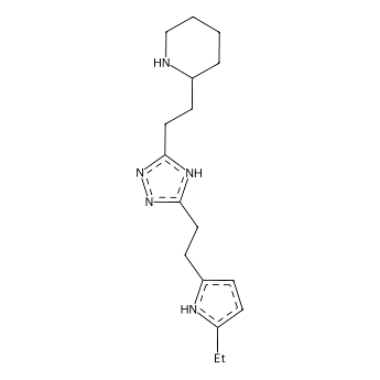 CCc1ccc(CCc2nnc(CCC3CCCCN3)[nH]2)[nH]1